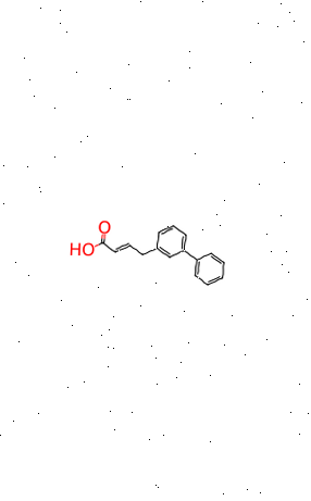 O=C(O)C=CCc1cccc(-c2ccccc2)c1